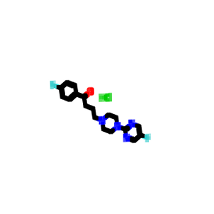 Cl.O=C(CCCN1CCN(c2ncc(F)cn2)CC1)c1ccc(F)cc1